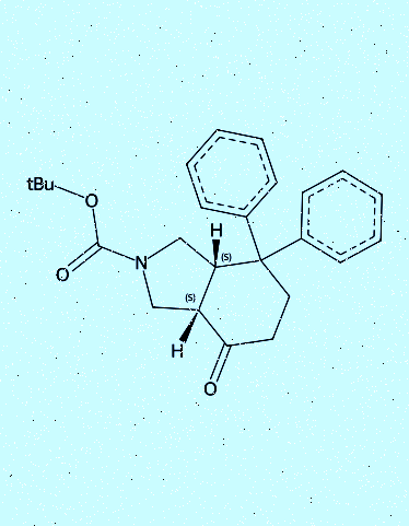 CC(C)(C)OC(=O)N1C[C@H]2C(=O)CCC(c3ccccc3)(c3ccccc3)[C@H]2C1